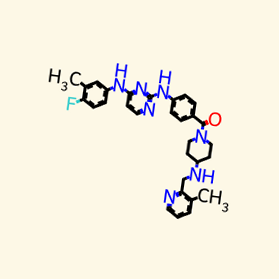 Cc1cc(Nc2ccnc(Nc3ccc(C(=O)N4CCC(NCc5ncccc5C)CC4)cc3)n2)ccc1F